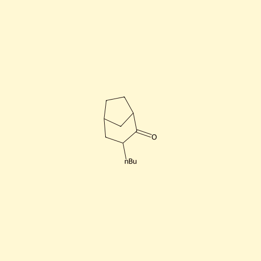 CCCCC1CC2CCC(C2)C1=O